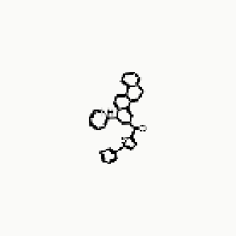 O=C(c1ccc(-c2ccccc2)s1)C1C=c2c(ccc3c2=CCc2ccccc2-3)C(C2=CC=CC=CN2)C1